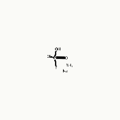 N.O=P([O-])(O)F.[Na+]